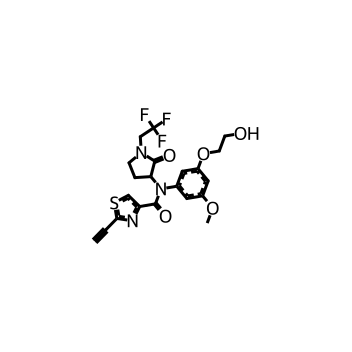 C#Cc1nc(C(=O)N(c2cc(OC)cc(OCCO)c2)C2CCN(CC(F)(F)F)C2=O)cs1